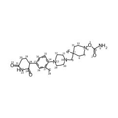 NC(=O)ON1CCC(F)(CN2CCN(c3ccc(C4CCC(=O)NC4=O)cc3F)CC2)CC1